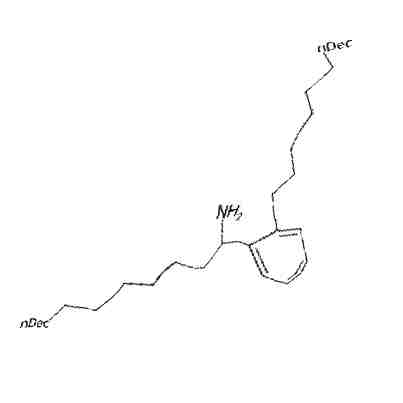 CCCCCCCCCCCCCCCCc1ccccc1C(N)CCCCCCCCCCCCCCCC